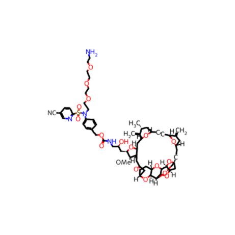 C=C1C[C@@H]2CC[C@@]34C[C@H]5OC6C(O[C@H]7CC[C@H](CC(=O)C[C@@H]8[C@@H](OC)[C@@H](C[C@H](O)CNC(=O)OCc9ccc(N(CCOCCOCCOCCN)S(=O)(=O)c%10ccc(C#N)cn%10)cc9)O[C@H]8C[C@H]8O[C@@H](CC[C@@H]1O2)C[C@@H](C)C8=C)O[C@@H]7[C@@H]6O3)[C@H]5O4